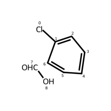 Clc1ccccc1.O=CO